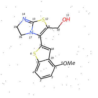 COc1cccc2sc(C3=C(CO)SC4=NCCN43)cc12